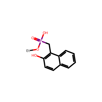 CCOP(=O)(O)Cc1c(O)ccc2ccccc12